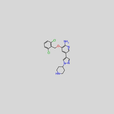 Nc1ncc(-c2cnn(C3CCNCC3)c2)cc1OCc1c(Cl)cccc1Cl